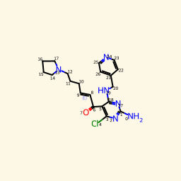 Nc1nc(Cl)c(C(=O)/C=C/CCCN2CCCC2)c(NCc2ccncc2)n1